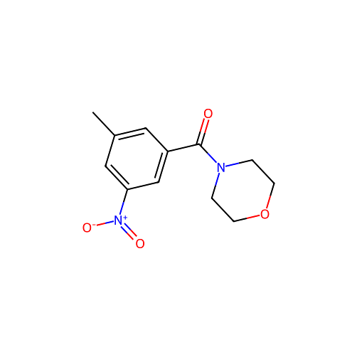 Cc1cc(C(=O)N2CCOCC2)cc([N+](=O)[O-])c1